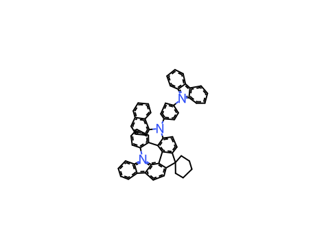 c1ccc2c(c1)-c1c(N(c3ccc(-n4c5ccccc5c5ccccc54)cc3)c3cccc4ccccc34)ccc3c1-c1c(ccc4c5ccccc5n-2c14)C31CCCCC1